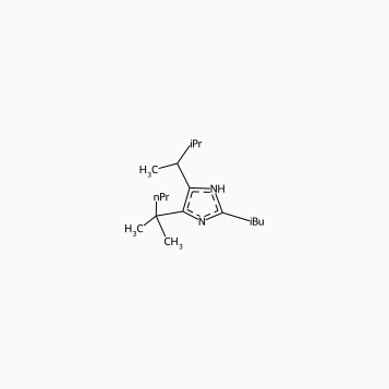 CCCC(C)(C)c1nc(C(C)CC)[nH]c1C(C)C(C)C